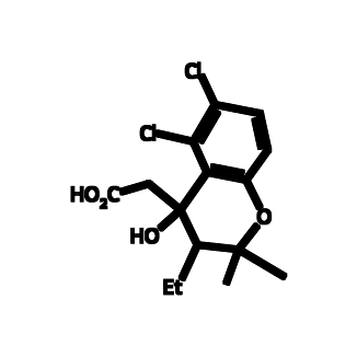 CCC1C(C)(C)Oc2ccc(Cl)c(Cl)c2C1(O)CC(=O)O